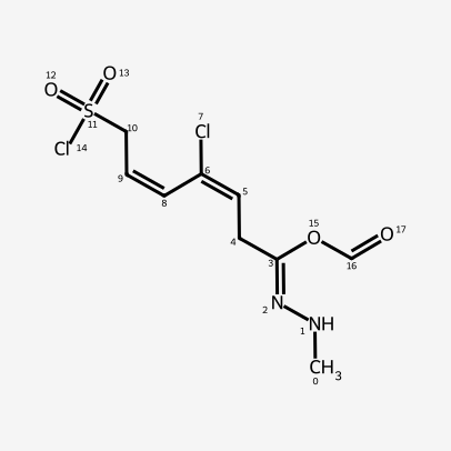 CN/N=C(/C/C=C(Cl)\C=C/CS(=O)(=O)Cl)OC=O